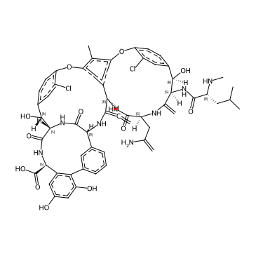 C=C=C1N[C@H]2C(=O)N[C@H](C(=O)N[C@H](C(=O)O)c3cc(O)cc(O)c3-c3cccc2c3)[C@H](O)c2ccc(c(Cl)c2)Oc2cc3cc(c2C)Oc2ccc(cc2Cl)[C@@H](O)[C@@H](NC(=O)[C@@H](CC(C)C)NC)C(=C)N[C@@H](CC(=C)N)C(=O)N[C@@H]13